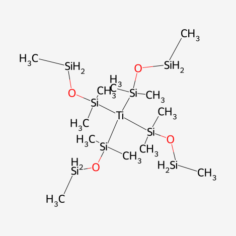 C[SiH2]O[Si](C)(C)[Ti]([Si](C)(C)O[SiH2]C)([Si](C)(C)O[SiH2]C)[Si](C)(C)O[SiH2]C